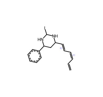 C=C/C=C\C=C\C1CC(c2ccccc2)NC(I)N1